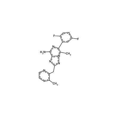 Cc1cccnc1Cc1nc2c(N)nc(-c3cc(F)ccc3F)c(C)n2n1